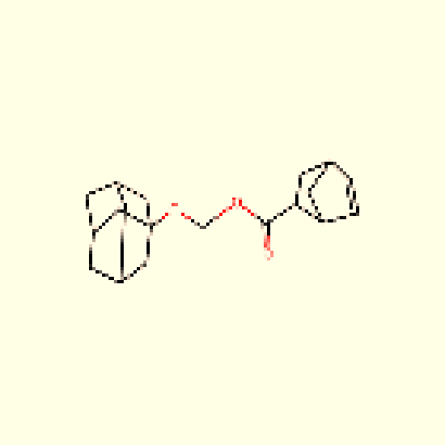 O=C(OCOC12CC3CC(CC(C3)C1)C2)C1CC2C=CC1C2